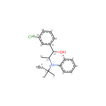 CCCCC(C)(C)N(c1ccccc1)C(C)C(O)c1cccc(Cl)c1